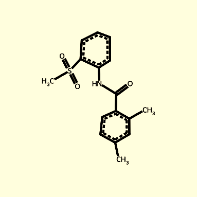 Cc1ccc(C(=O)Nc2ccccc2S(C)(=O)=O)c(C)c1